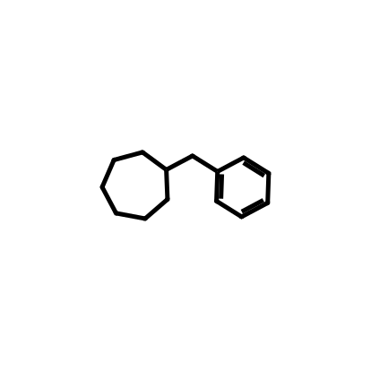 c1ccc(CC2CCCCCC2)cc1